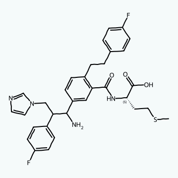 CSCC[C@H](NC(=O)c1cc(C(N)C(Cn2ccnc2)c2ccc(F)cc2)ccc1CCc1ccc(F)cc1)C(=O)O